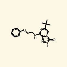 CC(C)(C)c1cn2c(=O)[nH]nc2c(NCCOc2ccccc2)n1